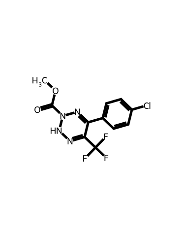 COC(=O)N1N=C(c2ccc(Cl)cc2)C(C(F)(F)F)=NN1